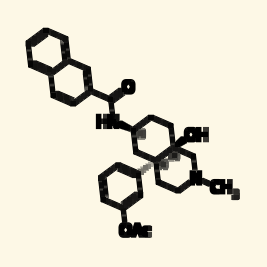 CC(=O)Oc1cccc([C@@]23CCN(C)C[C@@]2(O)CC[C@H](NC(=O)c2ccc4ccccc4c2)C3)c1